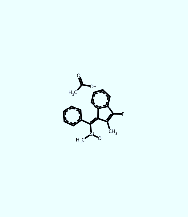 CC(=O)O.CC1=C(F)c2ccccc2C1=C(c1ccccc1)[S+](C)[O-]